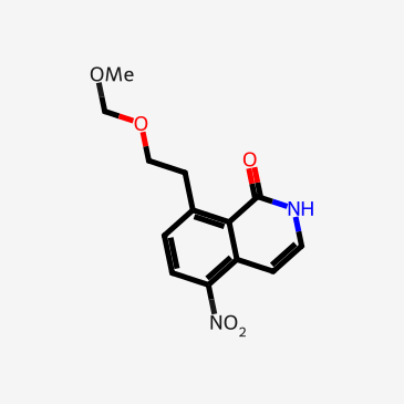 COCOCCc1ccc([N+](=O)[O-])c2cc[nH]c(=O)c12